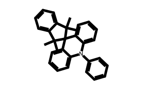 CC1(C)c2ccccc2C(C)(C)C12c1ccccc1N(c1ccccc1)c1ccccc12